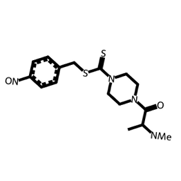 CNC(C)C(=O)N1CCN(C(=S)SCc2ccc(N=O)cc2)CC1